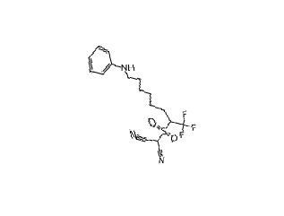 N#CC(C#N)S(=O)(=O)C(CCCCCCNc1ccccc1)C(F)(F)F